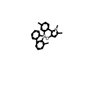 Cc1ccc2c(c1)[Si](c1ccccc1C)(c1ccccc1C)Oc1cc(C)n(C)c1-2